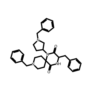 O=C1C(Cc2ccccc2)NC(=O)C2(CCN(Cc3ccccc3)CC2)N1C1CCN(Cc2ccccc2)C1